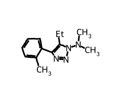 CCc1c(-c2ccccc2C)nnn1N(C)C